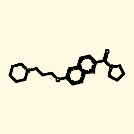 O=C(c1ccc2cc(OCCCN3CCCCC3)ccc2n1)N1CCCC1